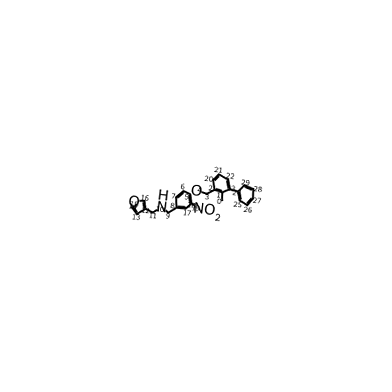 Cc1c(COc2ccc(CNCc3ccoc3)cc2[N+](=O)[O-])cccc1-c1ccccc1